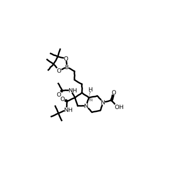 CC(=O)NC1(C(=O)NC(C)(C)C)CN2CCN(C(=O)O)C[C@@H]2C1CCCB1OC(C)(C)C(C)(C)O1